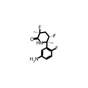 C[C@]1(F)C[C@H](F)[C@@](C)(c2cc(N)ccc2F)NC1=O